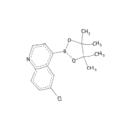 CC1(C)OB(c2ccnc3ccc(Cl)cc23)OC1(C)C